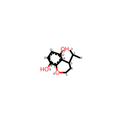 CC(C)C1CCOc2c(O)ccc(O)c21